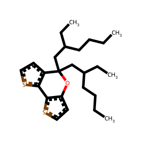 CCCCC(CC)CC1(CC(CC)CCCC)Oc2ccsc2-c2sccc21